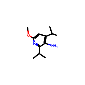 COc1cc(C(C)C)c(N)c(C(C)C)n1